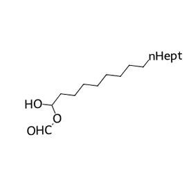 CCCCCCCCCCCCCCCC(O)OC=O